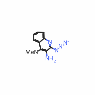 CNc1c(N)c(N=[N+]=[N-])nc2ccccc12